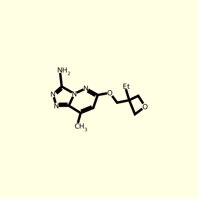 CCC1(COc2cc(C)c3nnc(N)n3n2)COC1